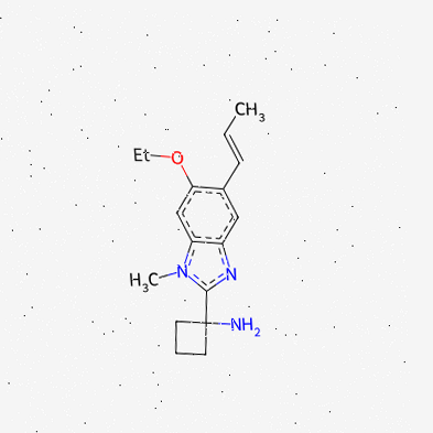 C/C=C/c1cc2nc(C3(N)CCC3)n(C)c2cc1OCC